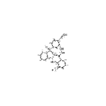 C#Cc1ccc(S(=O)(=O)c2ncccc2CNc2c(C)cccc2C(=O)NO)cc1